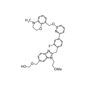 COCCn1c(Cc2ccc(-c3cccc(OCc4cccc5c4OCCN5C)n3)cc2F)nc2ccc(COCO)cc21